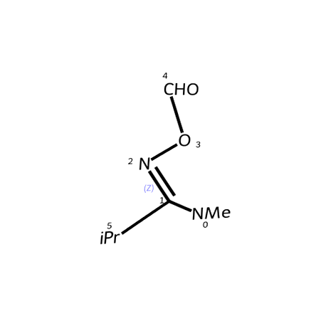 CN/C(=N\OC=O)C(C)C